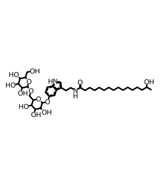 CC(O)CCCCCCCCCCCCCC(=O)NCCc1c[nH]c2ccc(OC3OC(COC4OC(CO)C(O)C(O)C4O)C(O)C(O)C3O)cc12